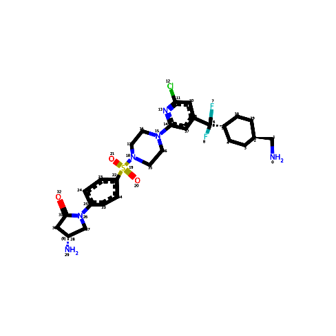 NC[C@H]1CC[C@H](C(F)(F)c2cc(Cl)nc(N3CCN(S(=O)(=O)c4ccc(N5C[C@H](N)CC5=O)cc4)CC3)c2)CC1